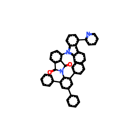 O=C1c2cccc(-n3c4ccccc4c4c(-c5ccccn5)cccc43)c2C(=O)N1c1c(-c2ccccc2)cc(-c2ccccc2)cc1-c1ccccc1